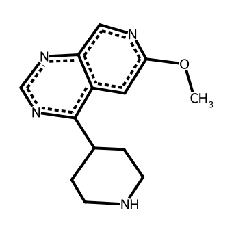 COc1cc2c(C3CCNCC3)ncnc2cn1